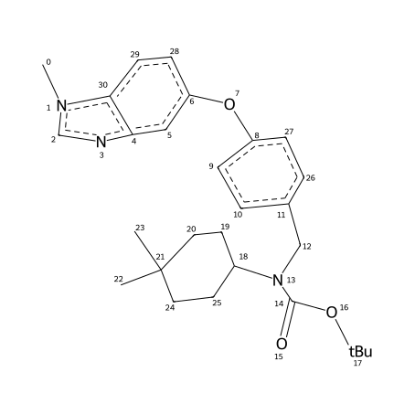 Cn1cnc2cc(Oc3ccc(CN(C(=O)OC(C)(C)C)C4CCC(C)(C)CC4)cc3)ccc21